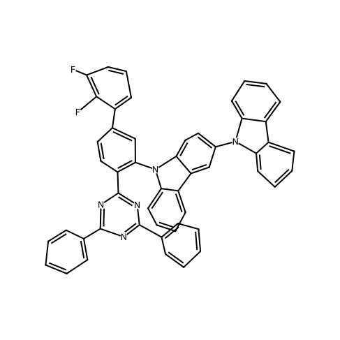 Fc1cccc(-c2ccc(-c3nc(-c4ccccc4)nc(-c4ccccc4)n3)c(-n3c4ccccc4c4cc(-n5c6ccccc6c6ccccc65)ccc43)c2)c1F